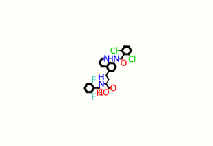 O=C(N[C@@H](CCc1ccc(NC(=O)c2c(Cl)cccc2Cl)c2ncccc12)C(=O)O)c1c(F)cccc1F